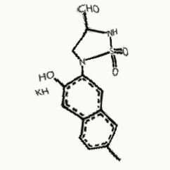 Cc1ccc2cc(O)c(N3CC(C=O)NS3(=O)=O)cc2c1.[KH]